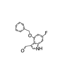 O=Cc1c[nH]c2cc(F)cc(OCc3ccccc3)c12